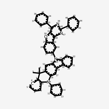 CC1(C)c2ccccc2N(c2ccccc2)c2cc3c4ccccc4n(-c4ccc5oc6c(-c7ccccc7)nc(-c7ccccc7)nc6c5c4)c3cc21